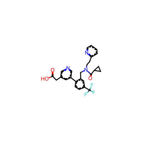 O=C(O)Cc1cncc(-c2ccc(C(F)(F)F)cc2CN(CCc2ccccn2)C(=O)C2CC2)c1